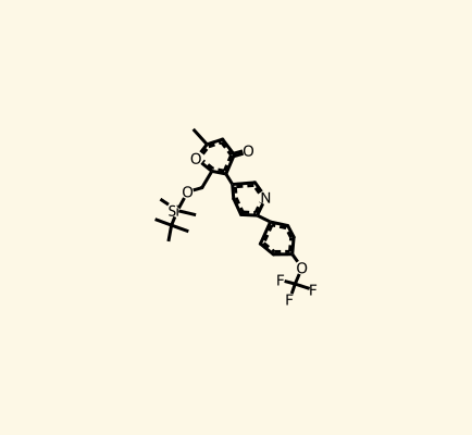 Cc1cc(=O)c(-c2ccc(-c3ccc(OC(F)(F)F)cc3)nc2)c(CO[Si](C)(C)C(C)(C)C)o1